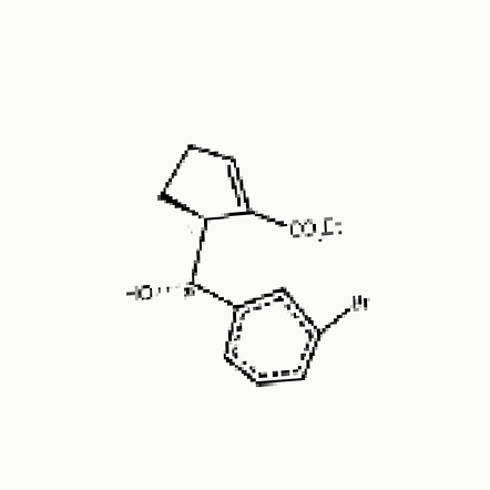 CCOC(=O)C1=CCC[C@@H]1[C@@H](O)c1cccc(Br)c1